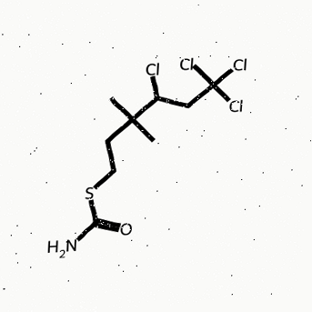 CC(C)(CCSC(N)=O)C(Cl)CC(Cl)(Cl)Cl